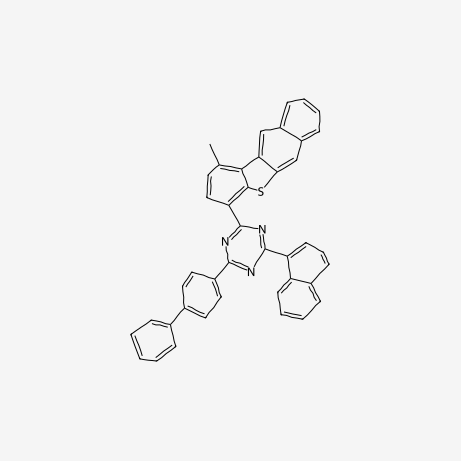 Cc1ccc(-c2nc(-c3ccc(-c4ccccc4)cc3)nc(-c3cccc4ccccc34)n2)c2sc3cc4ccccc4cc3c12